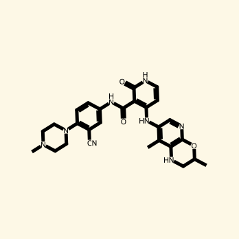 Cc1c(Nc2cc[nH]c(=O)c2C(=O)Nc2ccc(N3CCN(C)CC3)c(C#N)c2)cnc2c1NCC(C)O2